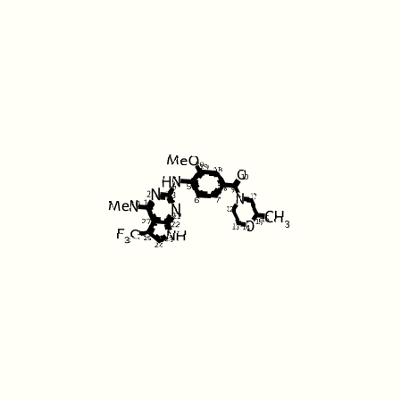 CNc1nc(Nc2ccc(C(=O)N3CCOC(C)C3)cc2OC)nc2[nH]cc(C(F)(F)F)c12